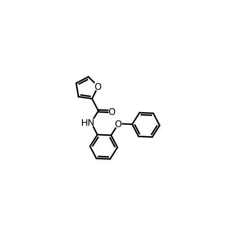 O=C(Nc1ccccc1Oc1ccccc1)c1ccco1